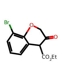 CCOC(=O)C1C(=O)COc2c(Br)cccc21